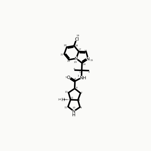 CC(C)(NC(=O)C1CC2CNC[C@H]2C1)c1ncc2c(Cl)cccn12